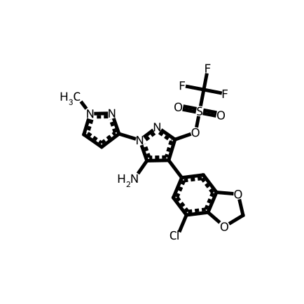 Cn1ccc(-n2nc(OS(=O)(=O)C(F)(F)F)c(-c3cc(Cl)c4c(c3)OCO4)c2N)n1